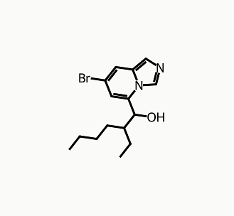 CCCCC(CC)C(O)c1cc(Br)cc2cncn12